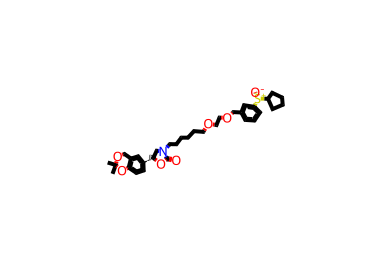 CC1(C)OCc2cc([C@@H]3CN(CCCCCCOCCOCc4cccc([S+]([O-])C5CCCC5)c4)C(=O)O3)ccc2O1